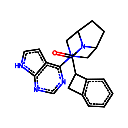 O=C(C1Cc2ccccc21)N1C2CCC1CN(c1ncnc3[nH]ccc13)C2